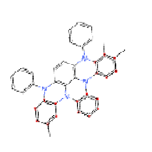 Cc1cccc(N(c2ccccc2)c2ccc(N(c3ccccc3)c3ccccc3)c(N(c3ccccc3)c3cccc(C)c3)c2N(c2ccccc2)c2cccc(C)c2)c1